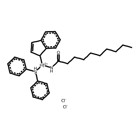 CCCCCCCCCC(=O)[NH][Hf+2]([CH]1C=Cc2ccccc21)[SiH](c1ccccc1)c1ccccc1.[Cl-].[Cl-]